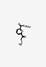 CCCCOCC(=O)c1cccc(C(=O)OC)n1